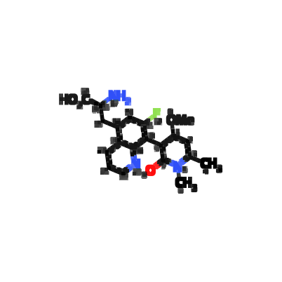 COc1cc(C)n(C)c(=O)c1-c1c(F)cc(C[C@H](N)C(=O)O)c2cccnc12